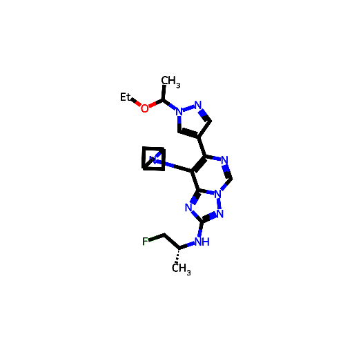 CCOC(C)n1cc(-c2ncn3nc(N[C@H](C)CF)nc3c2N2CC3CC2C3)cn1